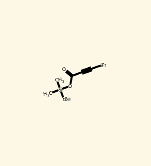 CC(C)C#CC(=O)O[Si](C)(C)C(C)(C)C